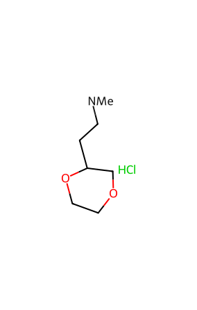 CNCCC1COCCO1.Cl